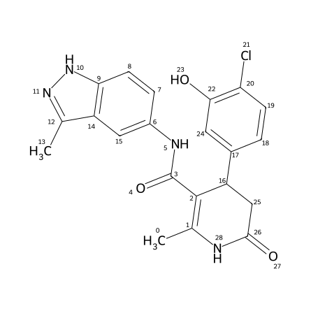 CC1=C(C(=O)Nc2ccc3[nH]nc(C)c3c2)C(c2ccc(Cl)c(O)c2)CC(=O)N1